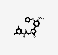 COc1ccc(C2CC(=O)N(CC(=O)Nc3cc(C)cc(C)n3)C2)cc1OC1CCCC1